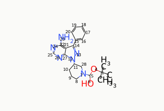 CC(C)(C)OC(O)N1CCCC(n2nc(-c3ccccc3)c3c(N)ncnc32)C1